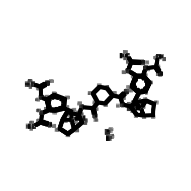 CC(=O)Oc1ccc(C[N+]2(C)C3CCC2CC(OC(=O)C2CCCC(C(=O)OC4CC5CCC(C4)[N+]5(C)Cc4ccc(OC(C)=O)c(OC(C)=O)c4)C2)C3)cc1OC(C)=O.[Br-].[Br-]